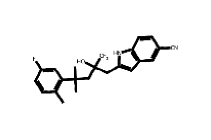 Cc1ccc(F)cc1C(C)(C)CC(O)(Cc1cc2cc(C#N)ccc2[nH]1)C(F)(F)F